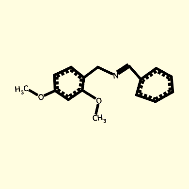 COc1ccc(CN=Cc2ccccc2)c(OC)c1